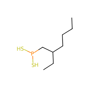 CCCCC(CC)CP(S)S